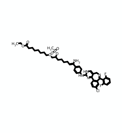 CCOC(=O)CCCCCCCOCC(CCCC/C=C(\N)C1=CCC(NC2N=C3C(=CN2)CN=C(c2c(F)cccc2F)c2cc(Cl)ccc23)C=C1)OS(C)(=O)=O